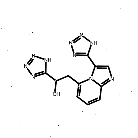 OC(Cc1cccc2ncc(-c3nnn[nH]3)n12)c1nnn[nH]1